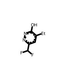 CCc1cc(C(F)F)nnc1O